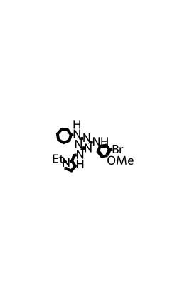 CCN1CCCC1CNc1nc(Nc2ccc(OC)c(Br)c2)nc(NC2CCCCCC2)n1